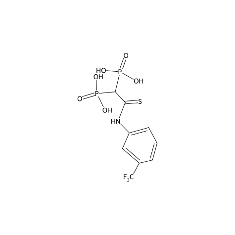 O=P(O)(O)C(C(=S)Nc1cccc(C(F)(F)F)c1)P(=O)(O)O